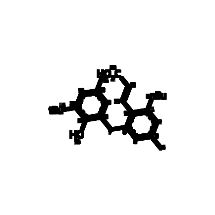 CCCCc1cc(C)cc(Cc2cc(C)cc(C(C)(C)C)c2O)c1C=CC(=O)O